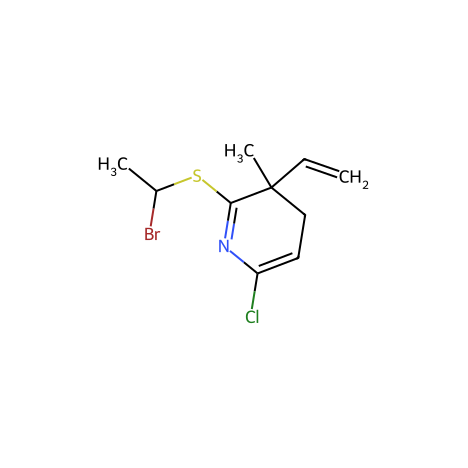 C=CC1(C)CC=C(Cl)N=C1SC(C)Br